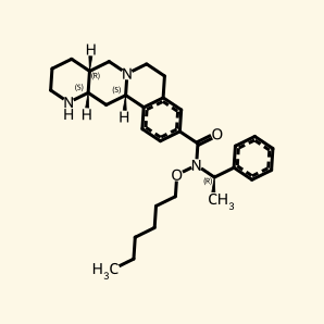 CCCCCCON(C(=O)c1ccc2c(c1)CCN1C[C@H]3CCCN[C@H]3C[C@@H]21)[C@H](C)c1ccccc1